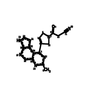 Cc1nc(C2=CCN(C(=O)CC#N)C2)c2c(cnc3[nH]ccc32)n1